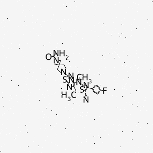 CCc1nc2sc(N3CCC4(CC3)CN(C(N)=O)C4)nn2c1N(C)c1nc(-c2ccc(F)cc2)c(C#N)s1